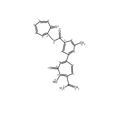 C=C(C)c1ccc(-c2cc(C)cc(C(=O)Sc3cccccc3=O)c2)cc(=O)c1O